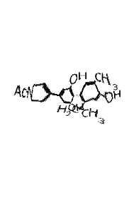 C=C(C)[C@@H]1C[C@H](O)C(C)=C[C@H]1c1c(O)cc(C2=CCN(C(C)=O)CC2)cc1O